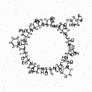 CC[C@H]1C(=O)N(C)[C@@H](Cc2ccccc2)C(=O)N[C@@H](CC(C)C)C(=O)N(C)[C@@H](CC(C)C)C(=O)N(C)[C@@H](CC(C)C)C(=O)N[C@@H](COC[C@@H]2CC(F)(F)CN2)C(=O)N(C)CC(=O)N(C)[C@@H](CC(C)C)C(=O)N[C@H](C(=O)N2CCCCC2)CC(=O)N(C)[C@@H](C)C(=O)N[C@@H](CC(C)C)C(=O)N1C